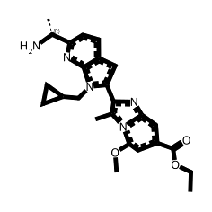 CCOC(=O)c1cc(OC)n2c(C)c(-c3cc4ccc([C@@H](C)N)nc4n3CC3CC3)nc2c1